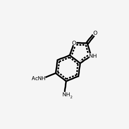 CC(=O)Nc1cc2oc(=O)[nH]c2cc1N